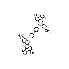 Cc1ccc2c(c1)c(-c1ccc(-c3ccc(-c4cc5c6ccc(C)c7c6c(cc5c5ccc(C)cc45)-c4ncccc4-7)cc3)cc1)cc1c3ccc(C)c4c3c(cc21)-c1ncccc1-4